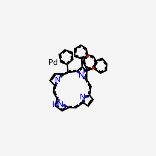 C1=Cc2cc3c(-c4ccccc4)c(-c4ccccc4)c(c(-c4ccccc4)c4nc(cc5ccc(cc1n2)[nH]5)C=C4)n3-c1ccccc1.[Pd]